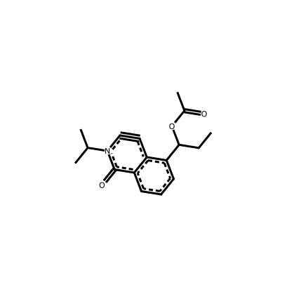 CCC(OC(C)=O)c1cccc2c(=O)n(C(C)C)c#cc12